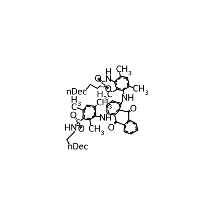 CCCCCCCCCCCCNS(=O)(=O)c1c(C)cc(C)c(Nc2ccc(Nc3c(C)cc(C)c(NS(=O)(=O)CCCCCCCCCCCC)c3C)c3c2C(=O)c2ccccc2C3=O)c1C